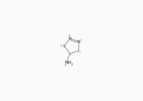 NC1CN=NS1